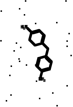 NC1=CC=C(Cc2ccc(N)cc2)CC1